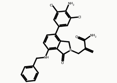 C=C(CN1Cc2c(-c3cc(Cl)c(N)c(Cl)c3)ccc(NCc3ccccc3)c2C1=O)C(N)=O